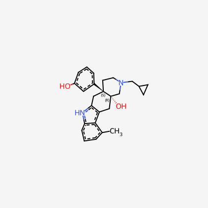 Cc1cccc2[nH]c3c(c12)C[C@]1(O)CN(CC2CC2)CC[C@@]1(c1cccc(O)c1)C3